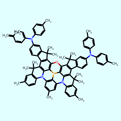 C=C(C)/C=C\C(=C/C)N(c1ccc(C)cc1)c1ccc2c(c1)C(C)(C)c1c3c4c5c(c1-2)C(C)(C)c1cc(C)ccc1N5c1cc(C)cc2c1P4c1c(c4c(c5c1N2c1ccc(C)cc1C5(C)C)-c1ccc(N(c2ccc(C)cc2)c2ccc(C)cc2)cc1C4(C)C)O3